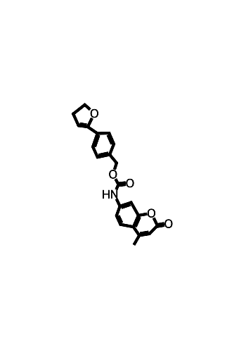 Cc1cc(=O)oc2cc(NC(=O)OCc3ccc(C4=CCCO4)cc3)ccc12